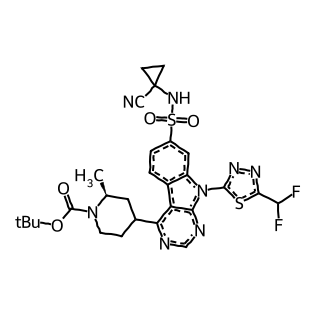 C[C@H]1CC(c2ncnc3c2c2ccc(S(=O)(=O)NC4(C#N)CC4)cc2n3-c2nnc(C(F)F)s2)CCN1C(=O)OC(C)(C)C